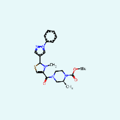 C[C@H]1CN(C(=O)C2=CSC(c3cnn(-c4ccccc4)c3)N2C)CCN1C(=O)OC(C)(C)C